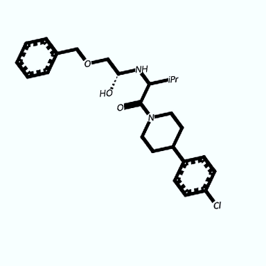 CC(C)C(N[C@H](O)COCc1ccccc1)C(=O)N1CCC(c2ccc(Cl)cc2)CC1